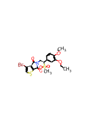 CCOc1cc([C@H](CN2C(=O)c3scc(Br)c3C2=O)S(C)(=O)=O)ccc1OC